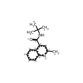 Cc1cc(C(=O)NC(C)(C)C)c2ccccc2n1